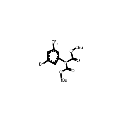 CC(C)(C)OC(=O)N(C(=O)OC(C)(C)C)c1cc(Br)cc(C(F)(F)F)c1